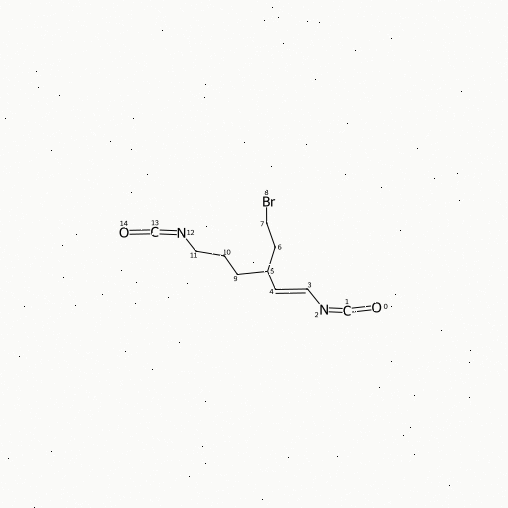 O=C=NC=CC(CCBr)CCCN=C=O